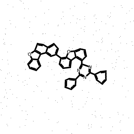 c1ccc(-c2nc(-c3ccccc3)nc(-c3cccc4oc5c(-c6ccc7ccc8oc9ccccc9c8c7c6)cccc5c34)n2)cc1